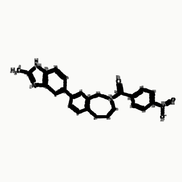 Cc1nc2cc(-c3ccc4c(c3)CN(C(=O)c3ccc([N+](=O)[O-])cc3)CCC4)ccc2[nH]1